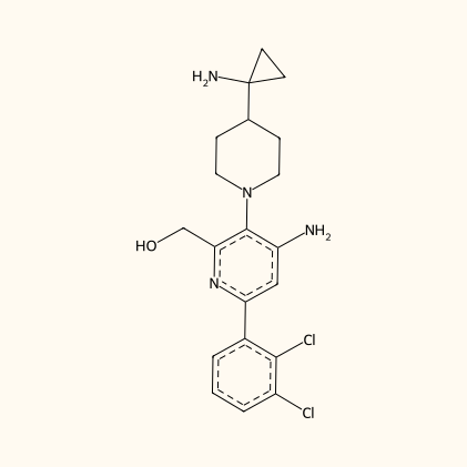 Nc1cc(-c2cccc(Cl)c2Cl)nc(CO)c1N1CCC(C2(N)CC2)CC1